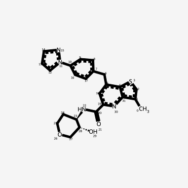 Cc1csc2c(Cc3ccc(-n4cccn4)cc3)cc(C(=O)N[C@@H]3CCOC[C@H]3O)nc12